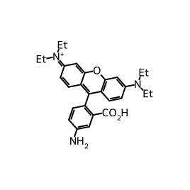 CCN(CC)c1ccc2c(-c3ccc(N)cc3C(=O)O)c3ccc(=[N+](CC)CC)cc-3oc2c1